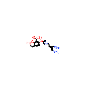 N=C/C(=C\N)CCN1CC(Oc2ccc3c(c2C(=O)O)OBCC3)C1